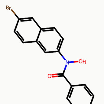 O=C(c1ccccc1)N(O)c1ccc2cc(Br)ccc2c1